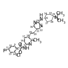 Cc1nc(NS(=O)(=O)c2ccc(F)cc2Cl)ccc1/C=C/c1cnc(N[C@H]2CC[C@H](N(C)C)CC2)nc1